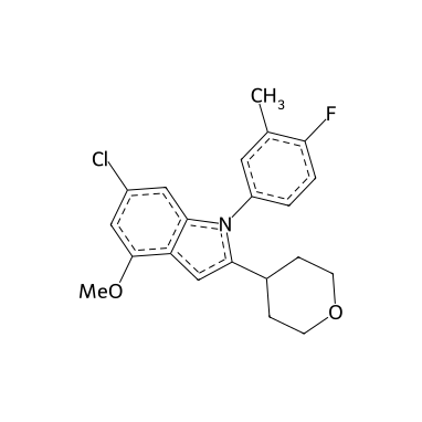 COc1cc(Cl)cc2c1cc(C1CCOCC1)n2-c1ccc(F)c(C)c1